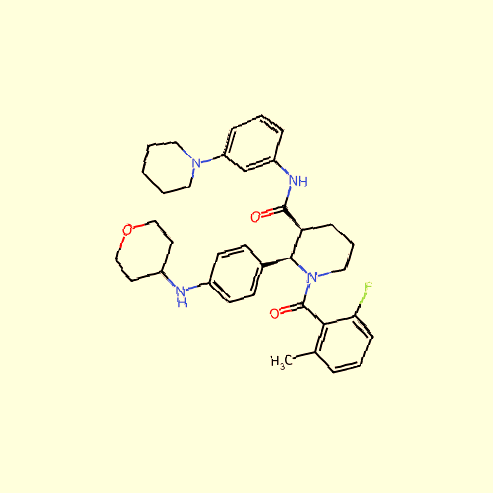 Cc1cccc(F)c1C(=O)N1CCC[C@H](C(=O)Nc2cccc(N3CCCCC3)c2)[C@@H]1c1ccc(NC2CCOCC2)cc1